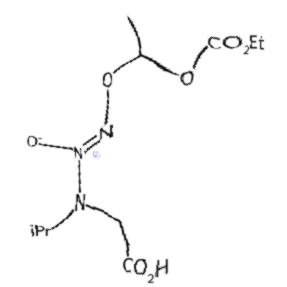 CCOC(=O)OC(C)O/N=[N+](\[O-])N(CC(=O)O)C(C)C